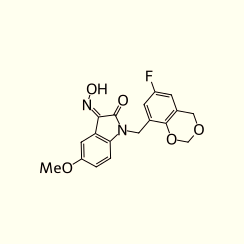 COc1ccc2c(c1)/C(=N/O)C(=O)N2Cc1cc(F)cc2c1OCOC2